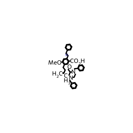 C=C(C)CCc1c(OC)cc(/C=C/c2ccccc2)c(C(=O)O)c1OCC1CN(Cc2ccccc2)CCN1Cc1ccccc1